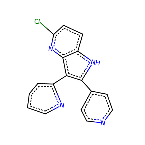 Clc1ccc2[nH]c(-c3ccncc3)c(-c3ccccn3)c2n1